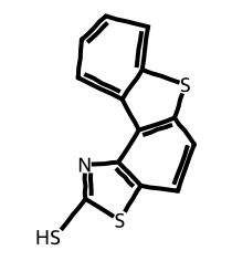 Sc1nc2c(ccc3sc4ccccc4c32)s1